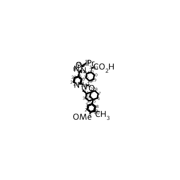 COc1ccc(C23CCCC(C2)C(CN(c2cc(-c4noc(C(C)C)n4)ccn2)C(=O)[C@H]2CC[C@H](CC(=O)O)CC2)CC3)cc1C